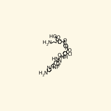 NCCC[N+]1(CC(=O)O)CCC(C(=O)N2CCN(C(=O)c3ccc(NC(=O)c4ncc(Cc5cn(-c6ccc(N)cn6)nc5C(F)(F)F)[nH]4)cc3Cl)CC2)CC1